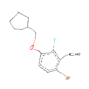 O=Cc1c(Br)ccc(OCC2CCCC2)c1F